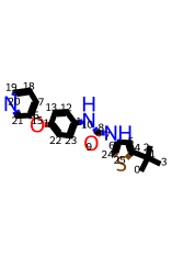 CC(C)(C)c1cc(NC(=O)Nc2ccc(Oc3cccnc3)cc2)cs1